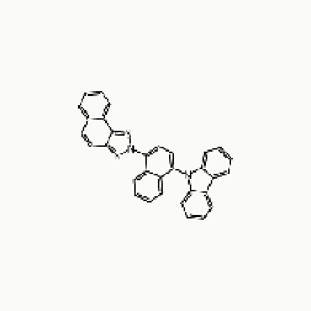 c1ccc2c(c1)ccc1nn(-c3ccc(-n4c5ccccc5c5ccccc54)c4ccccc34)nc12